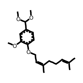 COc1cc(C(OC)OC)ccc1OCC=C(C)CCC=C(C)C